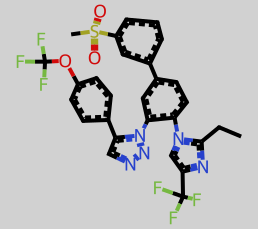 CCc1nc(C(F)(F)F)cn1-c1ccc(-c2cccc(S(C)(=O)=O)c2)cc1-n1nncc1-c1ccc(OC(F)(F)F)cc1